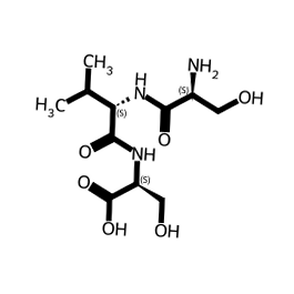 CC(C)[C@H](NC(=O)[C@@H](N)CO)C(=O)N[C@@H](CO)C(=O)O